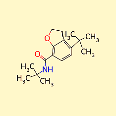 CC(C)(C)NC(=O)c1ccc(C(C)(C)C)c2c1OCC2